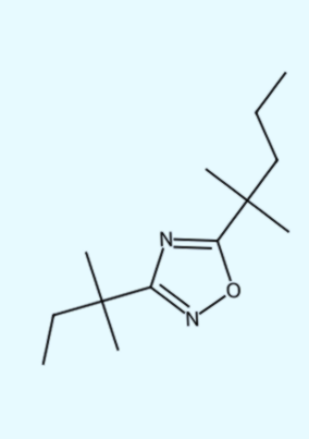 CCCC(C)(C)c1nc(C(C)(C)CC)no1